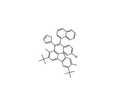 Cc1cc2c(cc1C(C)(C)C)-c1cc(C(C)(C)C)c(C)[c](/[Zr]([C]3=CC=CC3)=[C](\c3ccc(Cl)cc3)c3cccc4ccccc34)c1C2